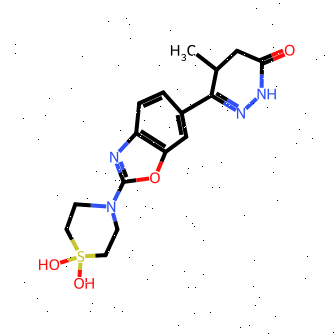 CC1CC(=O)NN=C1c1ccc2nc(N3CCS(O)(O)CC3)oc2c1